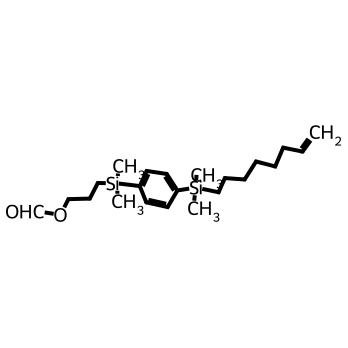 C=CCCCCCC[Si](C)(C)c1ccc([Si](C)(C)CCCOC=O)cc1